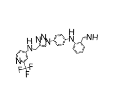 N=Cc1ccccc1Nc1ccc(-n2cc(CNc3ccnc(C(F)(F)F)c3)nn2)cc1